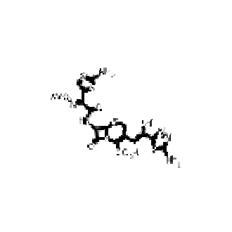 CON=C(C(=O)NC1C(=O)N2C(C(=O)O)=C(C=C(S)c3nnc(N)s3)CSC12)c1csc(N)n1